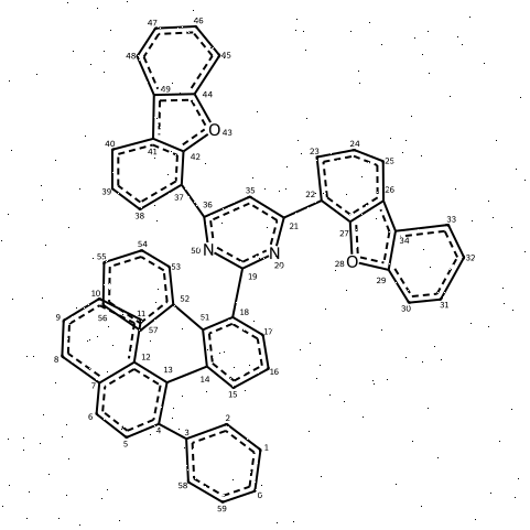 c1ccc(-c2ccc3ccccc3c2-c2cccc(-c3nc(-c4cccc5c4oc4ccccc45)cc(-c4cccc5c4oc4ccccc45)n3)c2-c2ccccc2)cc1